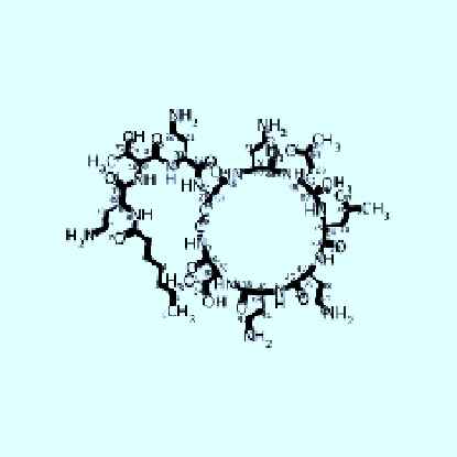 CCCCCCC(=O)N[C@@H](CCN)C(=O)N[C@H](C(=O)N[C@@H](CCN)C(=O)N[C@H]1CCNC(=O)[C@H]([C@@H](C)O)NC(=O)[C@H](CCN)NC(=O)[C@H](CCN)NC(=O)[C@H](CC(C)C)NC(=O)[C@@H](CC(C)C)NC(=O)[C@H](CCN)NC1=O)[C@@H](C)O